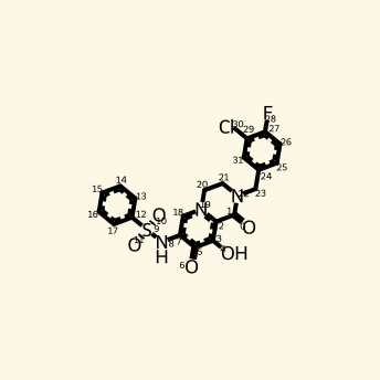 O=C1c2c(O)c(=O)c(NS(=O)(=O)c3ccccc3)cn2CCN1Cc1ccc(F)c(Cl)c1